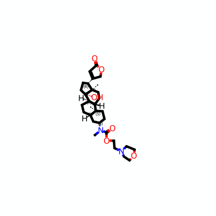 CN(C(=O)OCCN1CCOCC1)[C@H]1CC[C@@]2(C)[C@H](CC[C@@H]3[C@@H]2CC[C@]2(C)[C@@H](C4=CC(=O)OC4)CC[C@]32O)C1